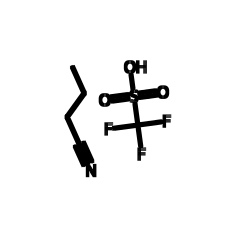 CCCC#N.O=S(=O)(O)C(F)(F)F